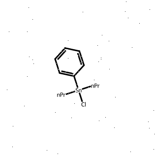 CC[CH2][Sn]([Cl])([CH2]CC)[c]1ccccc1